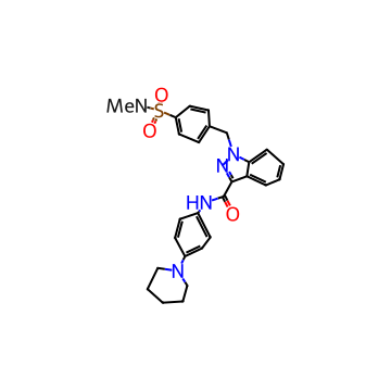 CNS(=O)(=O)c1ccc(Cn2nc(C(=O)Nc3ccc(N4CCCCC4)cc3)c3ccccc32)cc1